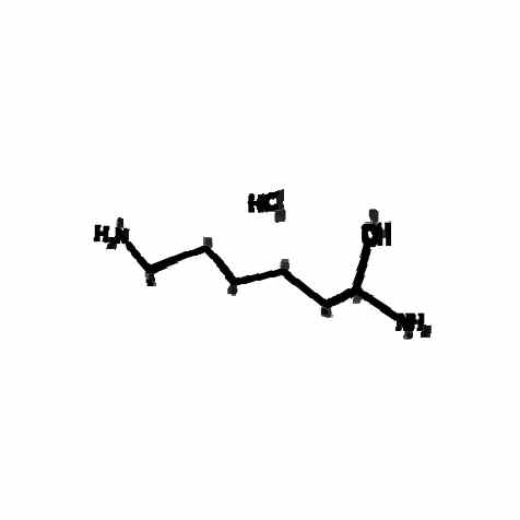 Cl.NCCCCCC(N)O